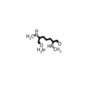 CNC(C=O)CCCC(C=O)NC.[InH3]